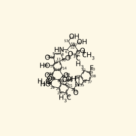 CO[C@H]1[C@H](C)OC(NC2=CC(=O)c3c(cc4c(c3O)C(=O)[C@]3(OC)[C@H](O)Cc5cc(C)c(C(=O)NCc6ccc(F)cc6)c(O)c5[C@]3(O)C4=O)C2=O)C(CO)[C@@H]1O